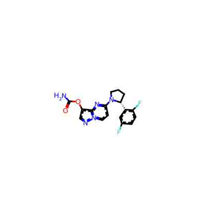 NC(=O)Oc1cnn2ccc(N3CCC[C@@H]3c3cc(F)ccc3F)nc12